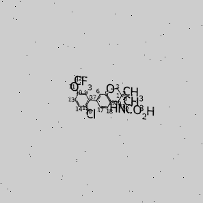 CC1(C)COc2cc(-c3cc(OC(F)(F)F)ccc3Cl)ccc2C1NC(=O)O